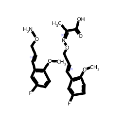 COc1ccc(F)cc1/C=C/CO/N=C(/C)C(=O)O.COc1ccc(F)cc1/C=C/CON